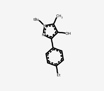 CCc1ccc(-c2nn(C(C)(C)C)c(C)c2O)cc1